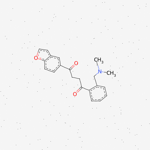 CN(C)Cc1ccccc1C(=O)CCC(=O)c1ccc2occc2c1